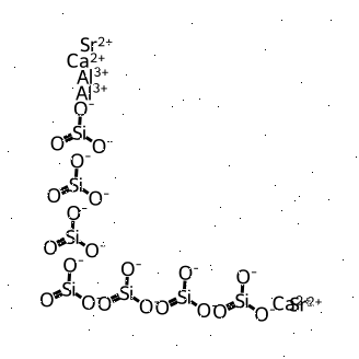 O=[Si]([O-])[O-].O=[Si]([O-])[O-].O=[Si]([O-])[O-].O=[Si]([O-])[O-].O=[Si]([O-])[O-].O=[Si]([O-])[O-].O=[Si]([O-])[O-].[Al+3].[Al+3].[Ca+2].[Ca+2].[Sr+2].[Sr+2]